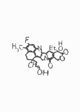 CC[C@@]1(O)C(=O)OCc2c1cc1n(c2=O)Cc2c-1nc1cc(F)c(C)c3c1c2[C@](C)(CCCO)CC3